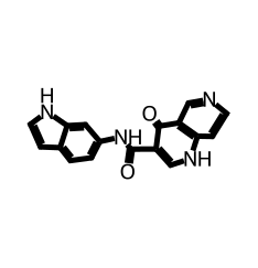 O=C(Nc1ccc2cc[nH]c2c1)c1c[nH]c2ccncc2c1=O